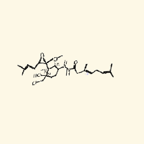 CO[C@@H]1C(NNC(=O)C/C(C)=C/CC=C(C)C)CC[C@](O)(CCl)[C@@]1(C)C1(C)OC1CC=C(C)C